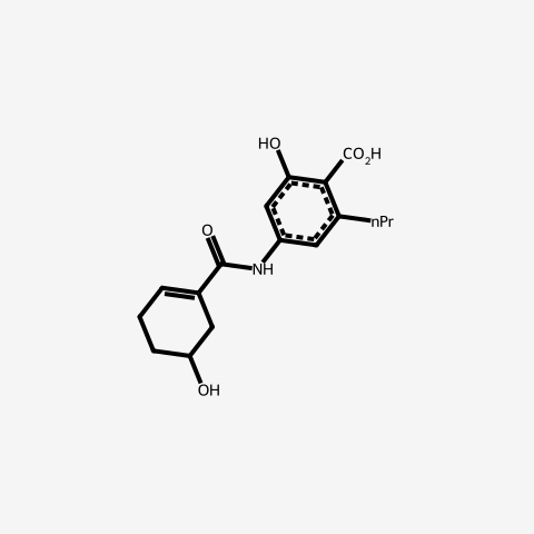 CCCc1cc(NC(=O)C2=CCCC(O)C2)cc(O)c1C(=O)O